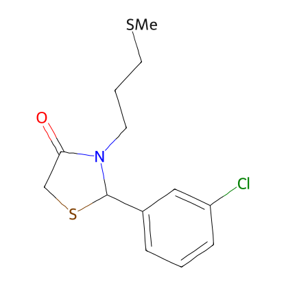 CSCCCN1C(=O)CSC1c1cccc(Cl)c1